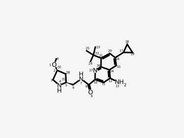 CO[C@@H]1CN[C@H](CNC(=O)c2cc(N)c3cc(C4CC4)cc(C(C)(C)C)c3n2)C1